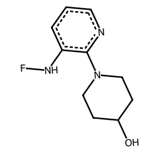 OC1CCN(c2ncccc2NF)CC1